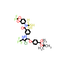 CC(C)(C)OC(=O)c1ccc(OCc2c(Cl)c(C(F)(F)F)nn2-c2cccc(C(=O)N(c3ccc4c(c3)OC(F)(F)O4)C(S)(S)S)c2)cc1